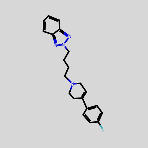 Fc1ccc(C2=CCN(CCCCn3nc4ccccc4n3)CC2)cc1